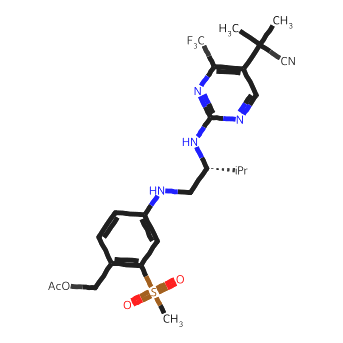 CC(=O)OCc1ccc(NC[C@H](Nc2ncc(C(C)(C)C#N)c(C(F)(F)F)n2)C(C)C)cc1S(C)(=O)=O